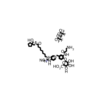 CN(CC1(CO)CCCC1)C(=O)CCCCCCCN/C(=N\C#N)Nc1cc[n+](Cc2ccc(O[C@@H]3O[C@H](C(=O)O)[C@@H](O)[C@H](O)[C@H]3O)c(NC(=O)CCN)c2)cc1.O=C(O)C(F)(F)F.O=C([O-])C(F)(F)F